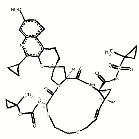 COc1ccc2c3c(c(C4CC4)nc2c1)O[C@]1(CC3)C[C@H]2C(=O)N[C@]3(C(=O)NS(=O)(=O)C4(C)CC4)C[C@H]3/C=C\CCCCC[C@H](NC(=O)OC3(C)CC3)C(=O)N2C1